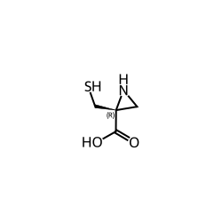 O=C(O)[C@@]1(CS)CN1